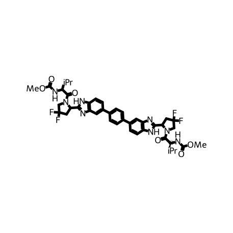 COC(=O)NC(C(=O)N1CC(F)(F)CC1c1nc2cc(-c3ccc(-c4ccc5[nH]c(C6CC(F)(F)CN6C(=O)[C@@H](NC(=O)OC)C(C)C)nc5c4)cc3)ccc2[nH]1)C(C)C